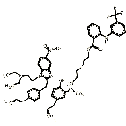 C=CCc1ccc(O)c(OC)c1.CCOc1ccc(Cc2nc3cc([N+](=O)[O-])ccc3n2CCN(CC)CC)cc1.O=C(OCCOCCO)c1ccccc1Nc1cccc(C(F)(F)F)c1